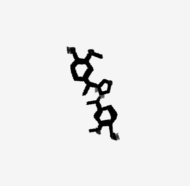 COc1cc(C(C)[C@H]2COC[C@@H]2C(C)c2ccc(O)c(OC)c2)ccc1O